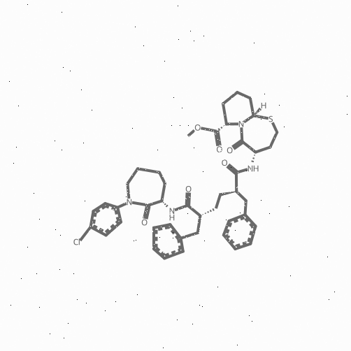 COC(=O)[C@@H]1CCC[C@@H]2SCC[C@H](NC(=O)[C@H](CC[C@H](Cc3ccccc3)C(=O)N[C@H]3CCCCN(c4ccc(Cl)cc4)C3=O)Cc3ccccc3)C(=O)N21